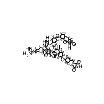 N=C(N)NCCCC(NC(=O)C(N)Cc1ccc(Oc2ccc(CC3SC(=O)NC3=O)cc2)cc1)C(=O)OC(=O)C(CS)NC(=O)C(N)Cc1ccc(Oc2ccc(CC3SC(=O)NC3=O)cc2)cc1